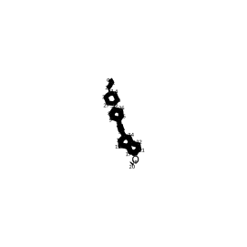 CCC[C@H]1CC[C@H](c2ccc(C#Cc3ccc4cc(OC)ccc4c3)cc2)CC1